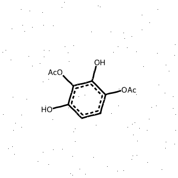 CC(=O)Oc1ccc(O)c(OC(C)=O)c1O